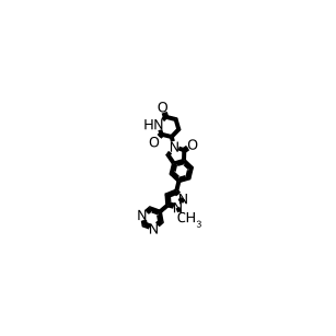 Cn1nc(-c2ccc3c(c2)CN(C2CCC(=O)NC2=O)C3=O)cc1-c1cncnc1